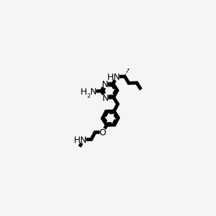 CCC[C@@H](C)Nc1cc(Cc2ccc(OCCNC)cc2)nc(N)n1